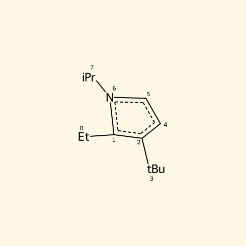 CCc1c(C(C)(C)C)ccn1C(C)C